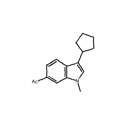 CC(=O)c1ccc2c(C3CCCC3)cn(C)c2c1